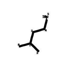 CC(C)CC[18F]